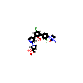 Cn1ccn(-c2ccc(-c3cc(F)cc(-c4ccnc(N5CCC(O)(CO)C5)c4)c3O)cc2Cl)c1=O